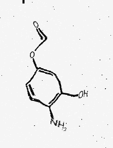 Nc1ccc(OC=O)cc1O